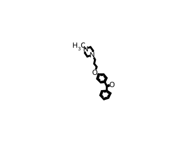 CN1CCN(CCCOc2ccc(C(=O)c3ccccc3)cc2)CC1